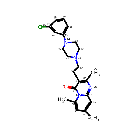 Cc1cc(C)n2c(=O)c(CCN3CCN(c4cccc(Cl)c4)CC3)c(C)nc2c1